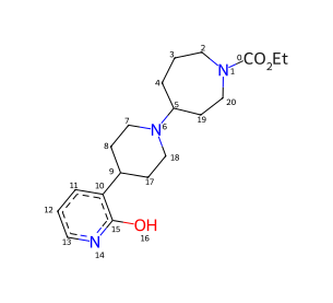 CCOC(=O)N1CCCC(N2CCC(c3cccnc3O)CC2)CC1